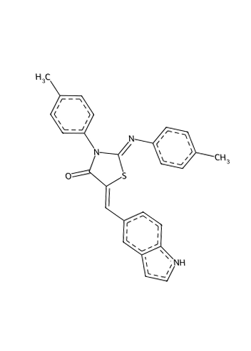 Cc1ccc(/N=C2\S/C(=C\c3ccc4[nH]ccc4c3)C(=O)N2c2ccc(C)cc2)cc1